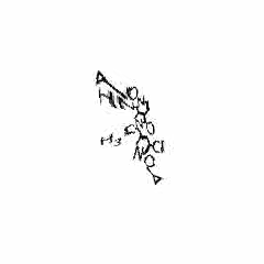 CC(c1cnc(OCC2CC2)c(Cl)c1)N1Cc2c(ccnc2NC(=O)C2CC2)C1=O